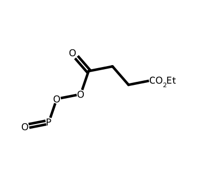 CCOC(=O)CCC(=O)OOP=O